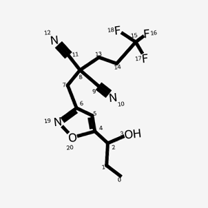 CCC(O)c1cc(CC(C#N)(C#N)CCC(F)(F)F)no1